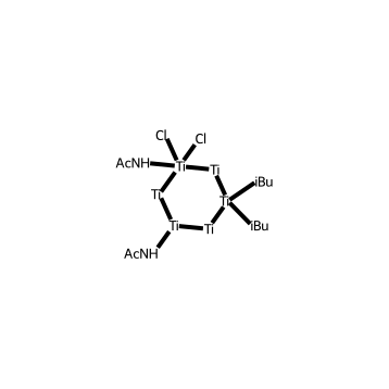 CC[CH](C)[Ti]1([CH](C)CC)[Ti][Ti]([NH]C(C)=O)[Ti][Ti]([Cl])([Cl])([NH]C(C)=O)[Ti]1